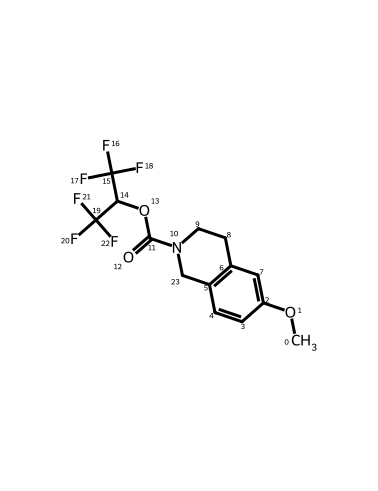 COc1ccc2c(c1)CCN(C(=O)OC(C(F)(F)F)C(F)(F)F)C2